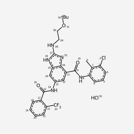 Cc1c(Cl)cccc1NC(=O)c1cc(NC(=O)c2ccccc2C(F)(F)F)cc2[nH]c(NCCOC(C)(C)C)nc12.Cl